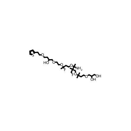 CC(C)(CCOCC(O)CO)OCC(C)(CF)C(C)(N)OCCC(C)(F)OCCOCC(O)CCOCCc1cccs1